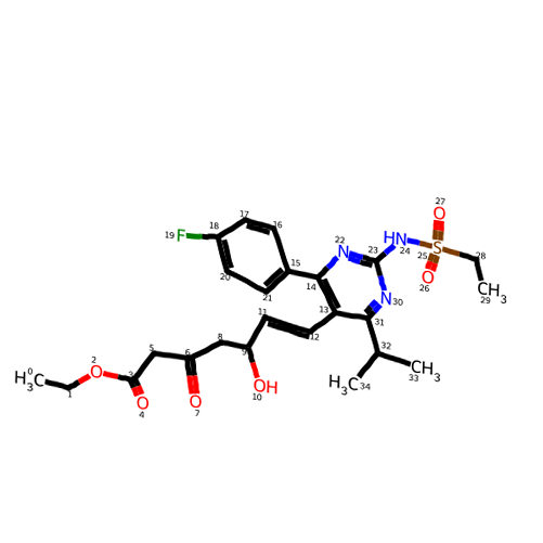 CCOC(=O)CC(=O)CC(O)/C=C/c1c(-c2ccc(F)cc2)nc(NS(=O)(=O)CC)nc1C(C)C